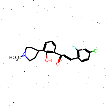 O=C(/C=C/c1ccc(Cl)cc1F)c1cccc(C2CCN(C(=O)O)CC2)c1O